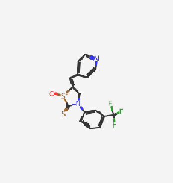 [O-][S+]1C(=S)N(c2cccc(C(F)(F)F)c2)CC1=Cc1ccncc1